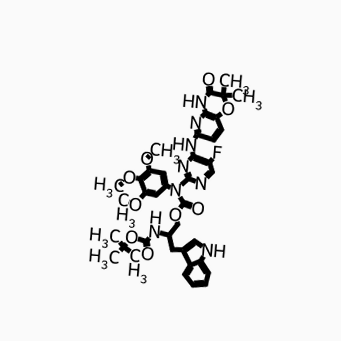 COc1cc(N(C(=O)OCC(Cc2c[nH]c3ccccc23)NC(=O)OC(C)(C)C)c2ncc(F)c(Nc3ccc4c(n3)NC(=O)C(C)(C)O4)n2)cc(OC)c1OC